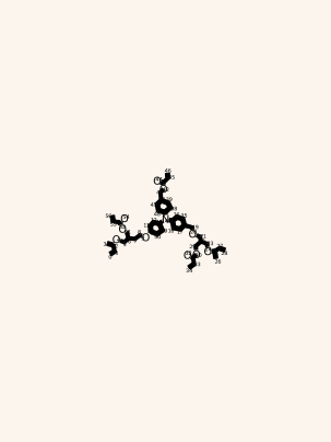 C=CC(=C)OCC(CCOc1ccc(N(c2ccc(COCC(COC(=C)C=C)COC(=O)C=C)cc2)c2ccc(COC(=O)C=C)cc2)cc1)COC(=O)C=C